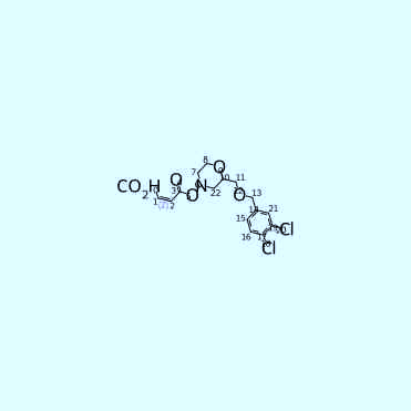 O=C(O)/C=C\C(=O)ON1CCOC(COCc2ccc(Cl)c(Cl)c2)C1